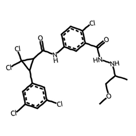 COCC(C)NNC(=O)c1cc(NC(=O)C2C(c3cc(Cl)cc(Cl)c3)C2(Cl)Cl)ccc1Cl